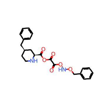 O=C(ONOCc1ccccc1)C(=O)OC(=O)[C@@H]1C[C@H](Cc2ccccc2)CCN1